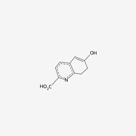 O=C(O)c1ccc2c(n1)CCC(O)=C2